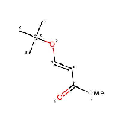 COC(=O)C=CO[Si](C)(C)C